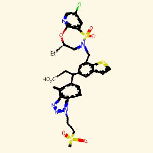 CC[C@@H]1CN(Cc2cc(C(CC(=O)O)c3ccc4c(nnn4CCCS(C)(=O)=O)c3C)cc3ccsc23)S(=O)(=O)c2cc(Cl)cnc2O1